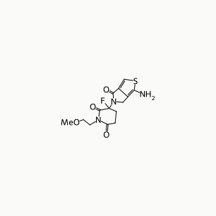 COCCN1C(=O)CCC(F)(N2Cc3c(csc3N)C2=O)C1=O